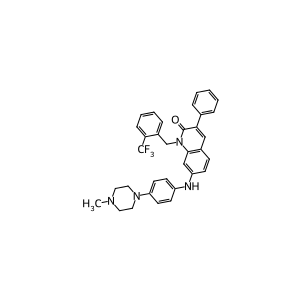 CN1CCN(c2ccc(Nc3ccc4cc(-c5ccccc5)c(=O)n(Cc5ccccc5C(F)(F)F)c4c3)cc2)CC1